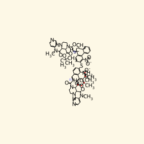 CC(C)c1ccccc1-c1c(/C=C/C(=O)N2CCNC(C(=O)N(C)c3ccncc3)C2C(=O)OC(C)(C)C)ccc(Sc2ccc(/C=C/C(=O)N3CCNC(C(=O)N(C)c4ccncc4)C3C(=O)OC(C)(C)C)c(-c3ccccc3C(C)C)c2[N+](=O)[O-])c1[N+](=O)[O-]